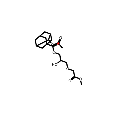 COC(=O)COCC(O)COC(=O)C12CC3CC(C1)C(OC(C)=O)C(C3)C2